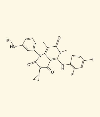 Cc1c(=O)n(C)c(Nc2ccc(I)cc2F)c2c(=O)n(C3CC3)c(=O)n(-c3cccc(NC(C)C)c3)c12